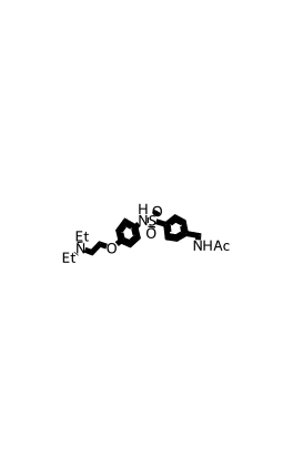 CCN(CC)CCOc1ccc(NS(=O)(=O)c2ccc(CNC(C)=O)cc2)cc1